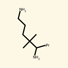 CC(C)C(N)C(C)(C)CCCN